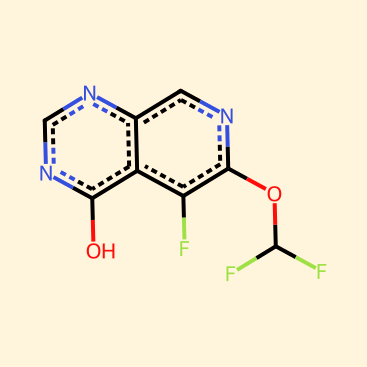 Oc1ncnc2cnc(OC(F)F)c(F)c12